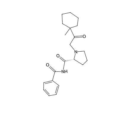 CC1(C(=O)CN2CCC[C@@H]2C(=O)NC(=O)c2ccccc2)CCCCC1